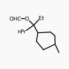 CCCC(CC)(OC=O)C1CCC(C)CC1